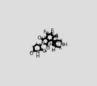 O=C1CCC(N2C(=O)c3c(F)c(F)c(F)c([C@@H]4[C@@H]5CC[C@H]4CNC5)c3C2=O)C(=O)N1